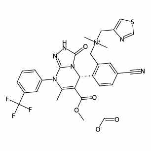 COC(=O)C1=C(C)N(c2cccc(C(F)(F)F)c2)c2n[nH]c(=O)n2[C@@H]1c1ccc(C#N)cc1C[N+](C)(C)Cc1cscn1.O=C[O-]